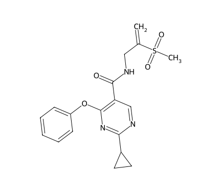 C=C(CNC(=O)c1cnc(C2CC2)nc1Oc1ccccc1)S(C)(=O)=O